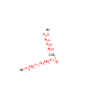 O.O.O.O.O.O.O.O.O.O.O=C([O-])[O-].[Rb+].[Rb+]